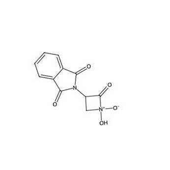 O=C1c2ccccc2C(=O)N1C1C[N+]([O-])(O)C1=O